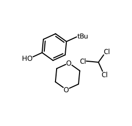 C1COCCO1.CC(C)(C)c1ccc(O)cc1.ClC(Cl)Cl